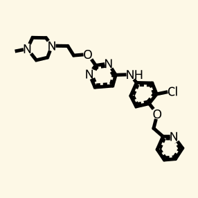 CN1CCN(CCOc2nccc(Nc3ccc(OCc4ccccn4)c(Cl)c3)n2)CC1